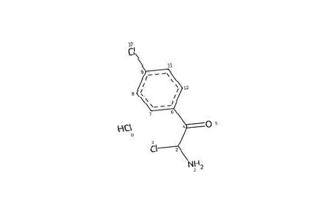 Cl.NC(Cl)C(=O)c1ccc(Cl)cc1